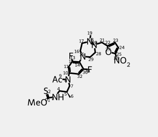 COC(=S)NC[C@H](C)CN(C(C)=O)c1cc(F)c(N2CCN(C)N(Cc3ccc([N+](=O)[O-])o3)CC2)c(F)c1